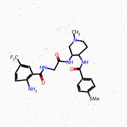 CSc1ccc(C(=O)NC2CCN(C)CC2NC(=O)CNC(=O)c2cc(C(F)(F)F)ccc2N)cc1